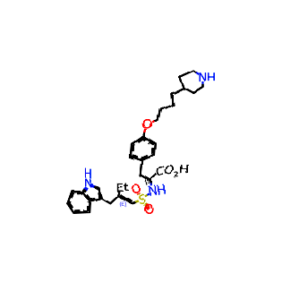 CC/C(=C\S(=O)(=O)N[C@@H](Cc1ccc(OCCCCC2CCNCC2)cc1)C(=O)O)Cc1c[nH]c2ccccc12